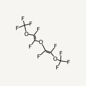 FC(OC(F)=C(F)OC(F)(F)F)=C(F)OC(F)(F)F